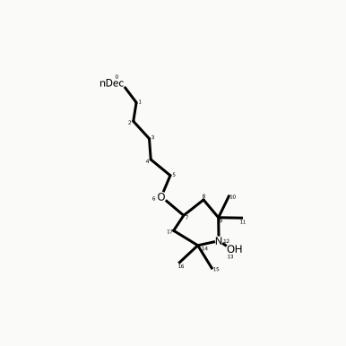 CCCCCCCCCCCCCCCOC1CC(C)(C)N(O)C(C)(C)C1